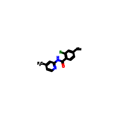 CC(C)(C)c1ccc(C(=O)Nc2cc(C(F)(F)F)ccn2)c(F)c1